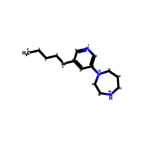 CCCC[Se]c1cncc(N2CCCNCC2)c1